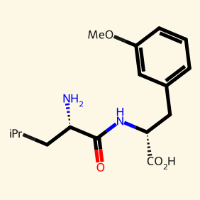 COc1cccc(C[C@@H](NC(=O)[C@@H](N)CC(C)C)C(=O)O)c1